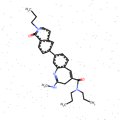 CCCN(CCC)C(=O)C1=Cc2ccc(-c3ccc4c(=O)n(CCC)ccc4c3)cc2N=C(NC)C1